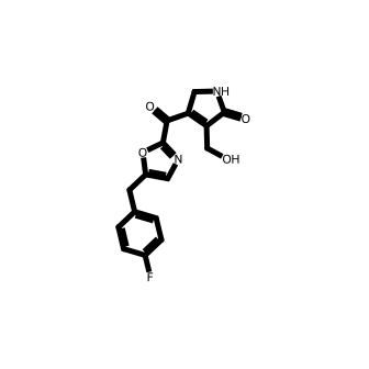 O=C1NCC(C(=O)c2ncc(Cc3ccc(F)cc3)o2)=C1CO